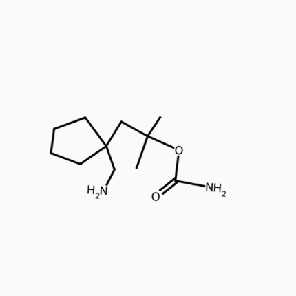 CC(C)(CC1(CN)CCCC1)OC(N)=O